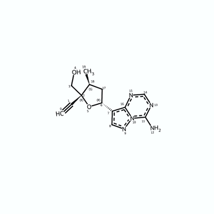 C#C[C@]1(CO)O[C@@H](c2cnn3c(N)ncnc23)C[C@@H]1C